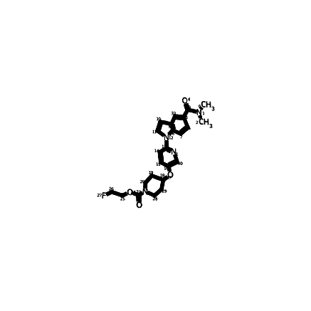 CN(C)C(=O)c1ccc2c(ccn2-c2ccc(OC3CCN(C(=O)OCCF)CC3)cn2)c1